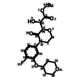 CC(C)(C)OC(=O)[C@H](O)[C@H]1OCCN(c2ccc(F)c(OC3CCOCC3)c2)C1=O